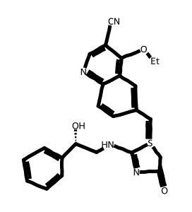 CCOc1c(C#N)cnc2ccc(/C=S3/CC(=O)N=C3NC[C@@H](O)c3ccccc3)cc12